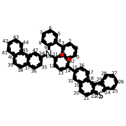 c1ccc(-c2ccccc2N(c2ccc(-c3ccc4c(ccc5sc6ccccc6c54)c3)cc2)c2ccc3ccc4ccccc4c3c2)cc1